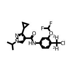 [2H]C([2H])(Cl)c1ccc(NC(=O)c2cn(C(C)C)nc2C2CC2)cc1OC(F)F